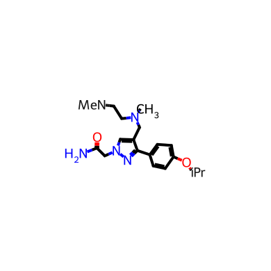 CNCCN(C)Cc1cn(CC(N)=O)nc1-c1ccc(OC(C)C)cc1